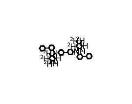 [2H]c1c([2H])c([2H])c(N(c2ccc(-c3ccc(N(c4cccc(-c5ccccc5)c4)c4c([2H])c([2H])c([2H])c([2H])c4[2H])cc3)cc2)c2cccc(-c3ccccc3)c2)c([2H])c1[2H]